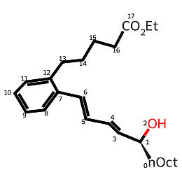 CCCCCCCC[C@H](O)/C=C/C=C/c1ccccc1CCCCC(=O)OCC